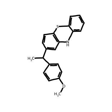 COc1ccc(C(C)c2ccc3c(c2)Nc2ccccc2S3)cc1